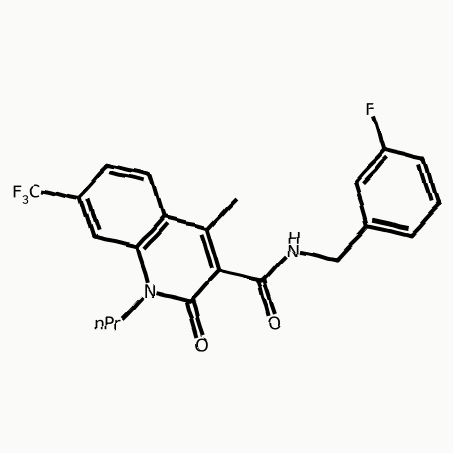 CCCn1c(=O)c(C(=O)NCc2cccc(F)c2)c(C)c2ccc(C(F)(F)F)cc21